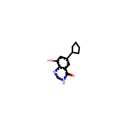 O=c1[nH]cnc2c(O)cc(C3CCCC3)cc12